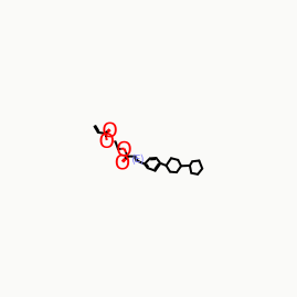 C=CC(=O)OCCOC(=O)/C=C/c1ccc(C2CCC(C3CCCCC3)CC2)cc1